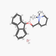 C[N+]1(C)CCCCC1COC1c2ccccc2-c2ccccc21.[Br-]